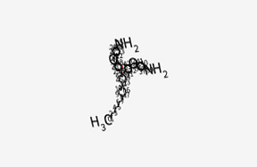 CCCCCCCCC1CCC(C2CCC(c3ccc(Oc4ccc(N)cc4)cc3)(c3ccc(Oc4ccc(N)cc4)cc3)CC2)CC1